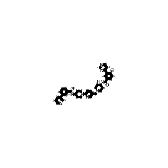 O=C(NC1CCN(Cc2ccc(N3CCC(NC(=O)c4cccc(-c5cccnc5)c4)CC3)nc2)CC1)c1ccc(Cl)c(-c2ccncn2)c1